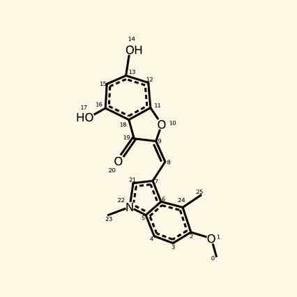 COc1ccc2c(c(C=C3Oc4cc(O)cc(O)c4C3=O)cn2C)c1C